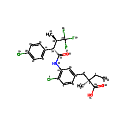 CC[C@](C)(Cc1ccc(Cl)c(NC(=O)[C@H](c2ccc(Cl)cc2)[C@@H](C)C(F)(F)F)c1)C(=O)O